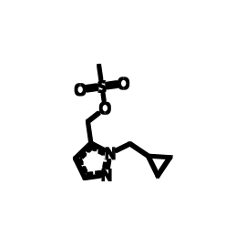 CS(=O)(=O)OCc1ccnn1CC1CC1